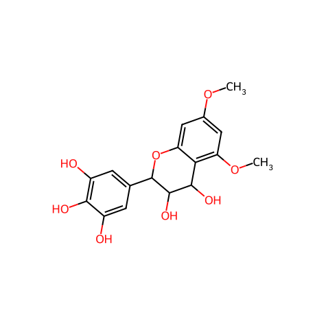 COc1cc(OC)c2c(c1)OC(c1cc(O)c(O)c(O)c1)C(O)C2O